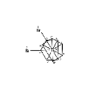 Br[C]12[CH]3[CH]4[CH]5[C]1(Br)[Ti]43521678[CH]2[CH]1[CH]6[CH]7[CH]28